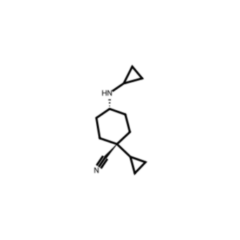 N#C[C@]1(C2CC2)CC[C@@H](NC2CC2)CC1